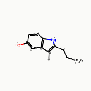 CCOC(=O)CCc1[nH]c2ccc(O)cc2c1C